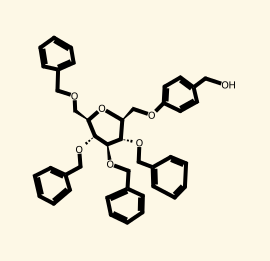 OCc1ccc(OC[C@@H]2O[C@H](COCc3ccccc3)[C@@H](OCc3ccccc3)[C@H](OCc3ccccc3)[C@H]2OCc2ccccc2)cc1